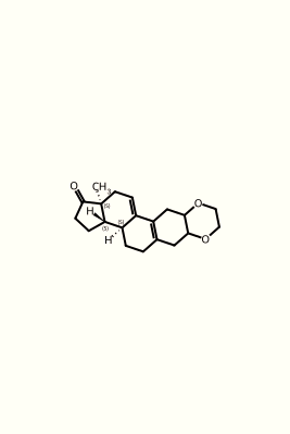 C[C@]12CC=C3C4=C(CC[C@H]3[C@@H]1CCC2=O)CC1OCCOC1C4